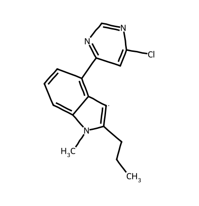 CCCc1[c]c2c(-c3cc(Cl)ncn3)cccc2n1C